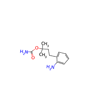 CC(C)(CCc1ccccc1N)OC(N)=O